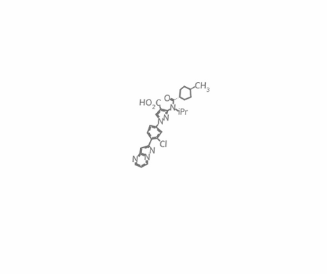 CC(C)N(c1nn(-c2ccc(-c3cc4ncccn4n3)c(Cl)c2)cc1C(=O)O)C(=O)[C@H]1CC[C@H](C)CC1